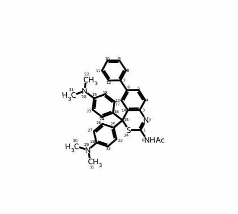 CC(=O)NC1=Nc2ccc(-c3ccccc3)cc2C(c2ccc(N(C)C)cc2)(c2ccc(N(C)C)cc2)S1